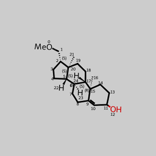 COC[C@H]1CC[C@H]2[C@@H]3CCC4=CC(O)CC[C@]4(C)[C@H]3CC[C@]12C